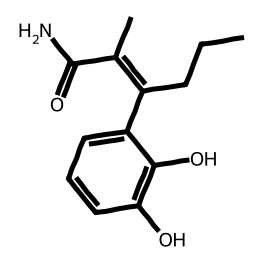 CCCC(=C(C)C(N)=O)c1cccc(O)c1O